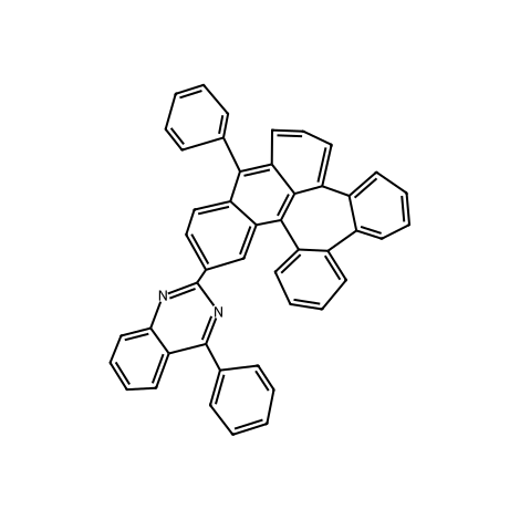 c1ccc(-c2nc(-c3ccc4c(-c5ccccc5)c5cccc6c5c(c4c3)-c3ccccc3-c3ccccc3-6)nc3ccccc23)cc1